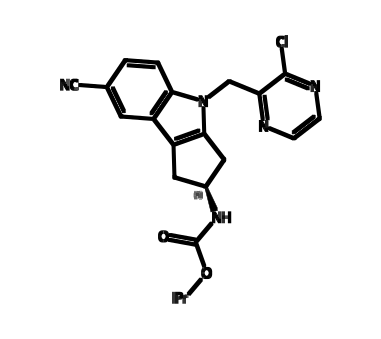 CC(C)OC(=O)N[C@H]1Cc2c(n(Cc3nccnc3Cl)c3ccc(C#N)cc23)C1